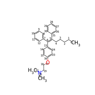 CCCCCC(=C(c1ccccc1)c1ccc(OCCN(C)C)cc1)c1ccccc1